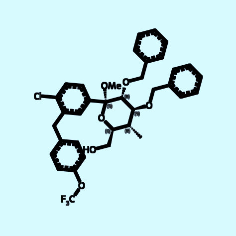 CO[C@@]1(c2ccc(Cl)c(Cc3ccc(OC(F)(F)F)cc3)c2)O[C@H](CO)[C@@H](C)[C@H](OCc2ccccc2)[C@H]1OCc1ccccc1